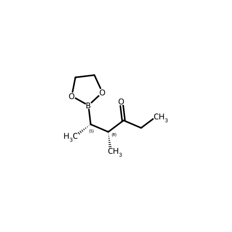 CCC(=O)[C@H](C)[C@H](C)B1OCCO1